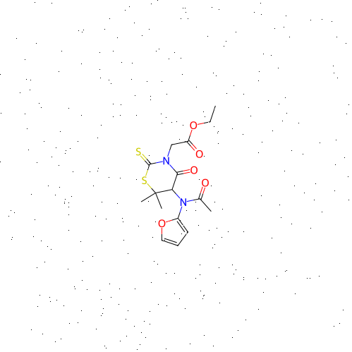 CCOC(=O)CN1C(=O)C(N(C(C)=O)c2ccco2)C(C)(C)SC1=S